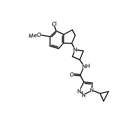 COc1ccc2c(c1Cl)CCC2N1CC(NC(=O)c2cn(C3CC3)nn2)C1